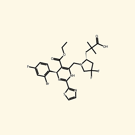 CCOC(=O)C1=C(CN2CC(F)(F)C[C@H]2CC(C)(C)C(=O)O)NC(c2nccs2)=N[C@H]1c1ccc(F)cc1Br